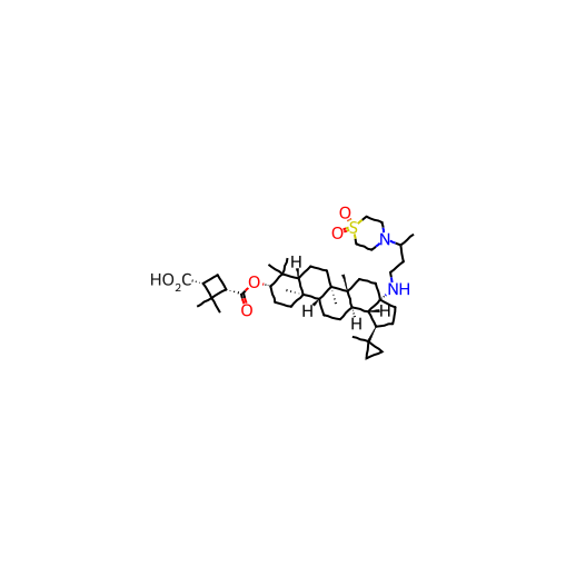 CC(CCN[C@]12CC[C@@H](C3(C)CC3)[C@@H]1[C@H]1CC[C@@H]3[C@@]4(C)CC[C@H](OC(=O)[C@H]5C[C@@H](C(=O)O)C5(C)C)C(C)(C)[C@@H]4CC[C@@]3(C)[C@]1(C)CC2)N1CCS(=O)(=O)CC1